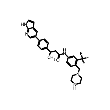 CC(CC(=O)Nc1ccc(CN2CCNCC2)c(C(F)(F)F)c1)c1ccc(-c2cnc3[nH]ccc3c2)cc1